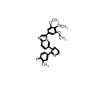 COc1cc(-c2cnc3ccc(-c4cccnc4-c4ccc(F)c(C)c4)cn23)cc(OC)c1OC